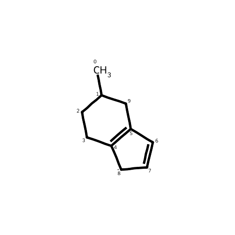 CC1CCC2=C(C=C[CH]2)C1